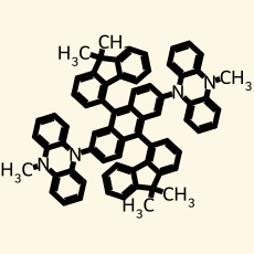 CN1c2ccccc2N(c2ccc3c(-c4cccc5c4-c4ccccc4C5(C)C)c4cc(N5c6ccccc6N(C)c6ccccc65)ccc4c(-c4cccc5c4-c4ccccc4C5(C)C)c3c2)c2ccccc21